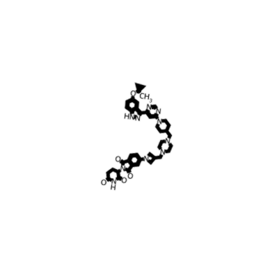 CC1(Oc2ccc3[nH]nc(-c4cc(N5CCC(CN6CCN(CC7CN(c8ccc9c(c8)C(=O)N(C8CCC(=O)NC8=O)C9=O)C7)CC6)CC5)ncn4)c3c2)CC1